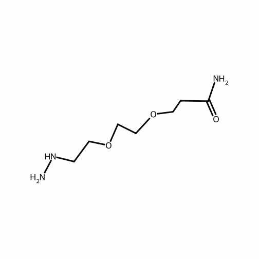 NNCCOCCOCCC(N)=O